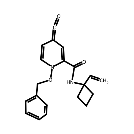 C=CC1(NC(=O)C2=CC(=C=O)C=CN2OCc2ccccc2)CCC1